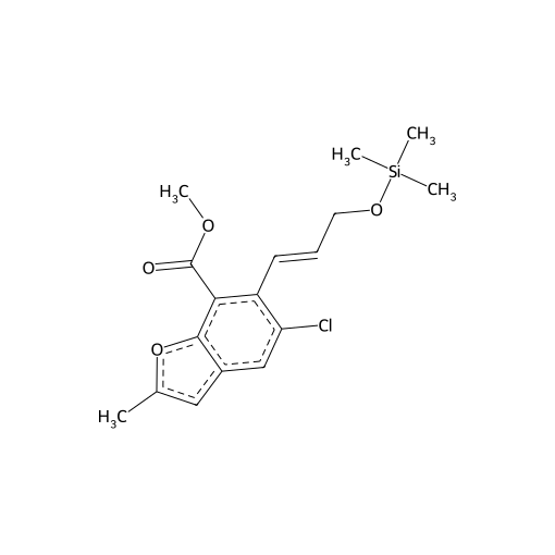 COC(=O)c1c(C=CCO[Si](C)(C)C)c(Cl)cc2cc(C)oc12